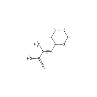 C/C(=C\C1CCCCO1)C(=O)O